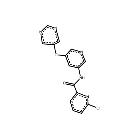 O=C(Nc1cncc(Oc2cncnc2)c1)c1cccc(Cl)n1